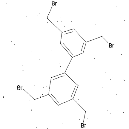 BrCc1cc(CBr)cc(-c2cc(CBr)cc(CBr)c2)c1